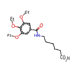 CCOc1cc(C(=O)NCCCCCC(=O)O)cc(OCC)c1OCC